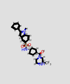 Cn1c(-c2ccccc2)cc2cc(S(=O)(=O)N[C@H]3CC[C@H](C(=O)N4CCN[C@H](C(F)(F)F)C4)CC3)ccc21